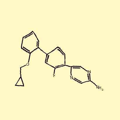 Nc1cnc(-c2ccc(-c3ccccc3OCC3CC3)cc2F)cn1